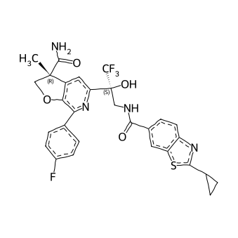 C[C@]1(C(N)=O)COc2c1cc([C@@](O)(CNC(=O)c1ccc3nc(C4CC4)sc3c1)C(F)(F)F)nc2-c1ccc(F)cc1